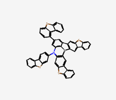 c1ccc2c(c1)sc1cc(N3c4cc5sc6ccccc6c5cc4B4c5cc6c(cc5-c5cc(-c7cccc8sc9ccccc9c78)cc3c54)sc3ccccc36)ccc12